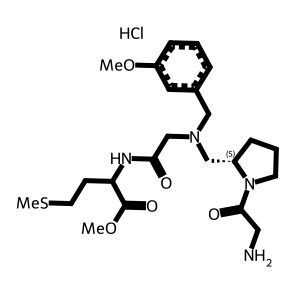 COC(=O)C(CCSC)NC(=O)CN(Cc1cccc(OC)c1)C[C@@H]1CCCN1C(=O)CN.Cl